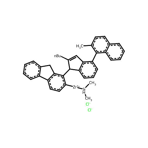 CCCCC1=Cc2c(-c3c(C)ccc4ccccc34)cccc2C1c1[c]([Zr+2][SiH](C)C)ccc2c1Cc1ccccc1-2.[Cl-].[Cl-]